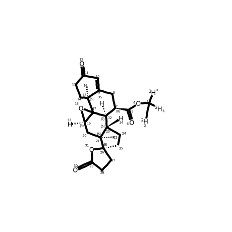 [2H]C([2H])([2H])OC(=O)[C@@H]1CC2=CC(=O)CC[C@]2(C)C23O[C@@H]2C[C@@]2(C)[C@@H](CC[C@@]24CCC(=O)O4)[C@H]13